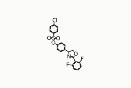 O=S(=O)(Oc1ccc(C2COC(c3c(F)cccc3F)=N2)cc1)c1ccc(Cl)cc1